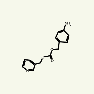 Nc1ccc(COC(=O)OCc2cccnc2)cc1